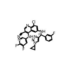 N#Cc1cnc2c(Cl)cc(N[C@@H](c3cccc(F)c3)c3cn(C4CC4)nn3)cc2c1Nc1cnc(F)c(F)c1